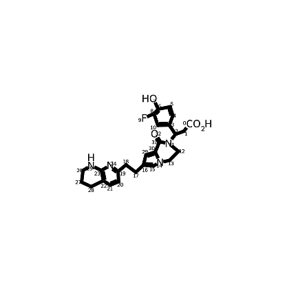 O=C(O)CC(c1ccc(O)c(F)c1)N1CCn2cc(CCc3ccc4c(n3)NCCC4)cc2C1=O